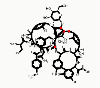 CN[C@H](CC(C)C)C(=O)N[C@H]1C(=O)N[C@@H](CC(N)=O)C(=O)N[C@H]2C(=O)N[C@H]3C(=O)N[C@H](C(=O)N[C@@H](C(=O)NO)c4cc(O)cc(O)c4-c4cc3ccc4O)[C@H](O)c3ccc(c(Cl)c3)Oc3cc2cc(c3O[C@@H]2O[C@H](CO)[C@@H](O)[C@H](O)[C@H]2O[C@H]2C[C@](C)(NCc3cncc(NC(=O)c4ccc(OC(F)(F)F)cc4)c3)[C@H](O)[C@H](C)O2)Oc2ccc(cc2Cl)[C@H]1O